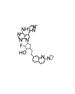 Cn1ccc(-c2cn(C3CC(CCc4ccc5ccc(N6CCC6)nc5c4)C(O)C3F)c3ncnc(N)c23)n1